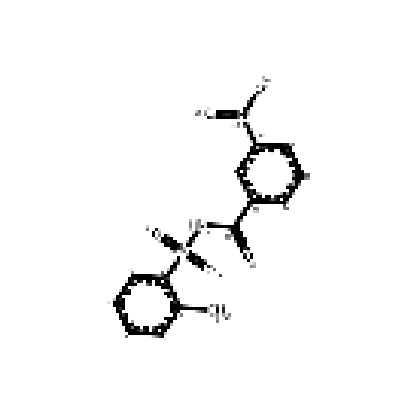 Cc1ccccc1S(=O)(=O)NC(=O)c1cccc([N+](=O)[O-])c1